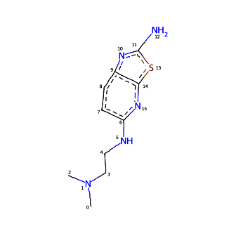 CN(C)CCNc1ccc2nc(N)sc2n1